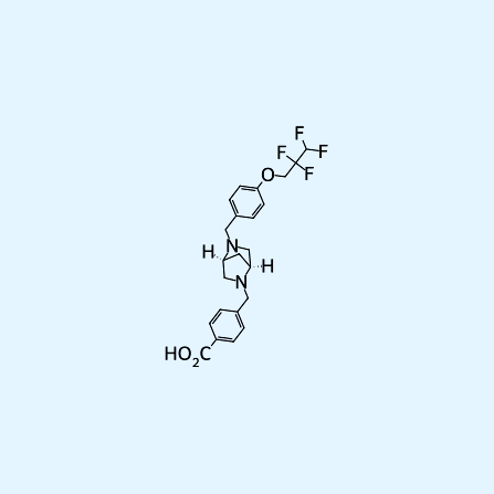 O=C(O)c1ccc(CN2C[C@@H]3C[C@H]2CN3Cc2ccc(OCC(F)(F)C(F)F)cc2)cc1